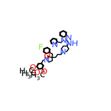 COc1cc(CN2CCC(CCCN3CCC(Nc4nc5ccccc5n4Cc4ccccn4)CC3)(Cc3ccc(F)cc3)C2=O)cc(OC)c1OC